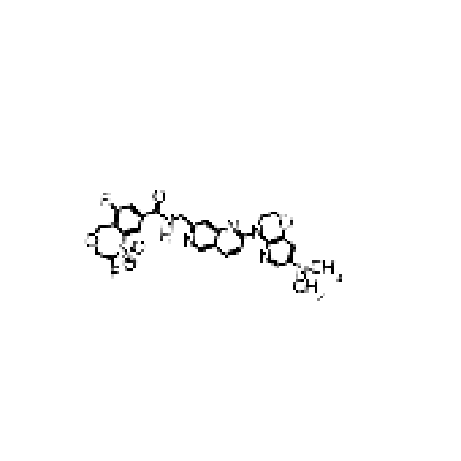 CN(C)c1cnc2c(c1)OCCN2c1ccc2cnc(CNC(=O)c3cc(F)c4c(c3)S(=O)(=O)[C@@H](F)COC4)cc2n1